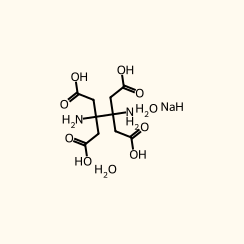 NC(CC(=O)O)(CC(=O)O)C(N)(CC(=O)O)CC(=O)O.O.O.[NaH]